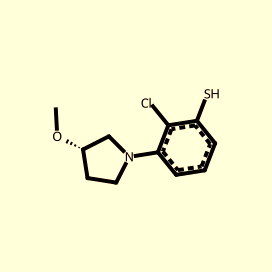 CO[C@H]1CCN(c2cccc(S)c2Cl)C1